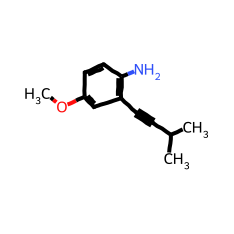 COc1ccc(N)c(C#CC(C)C)c1